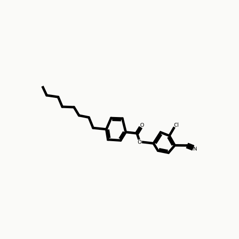 CCCCCCCCc1ccc(C(=O)Oc2ccc(C#N)c(Cl)c2)cc1